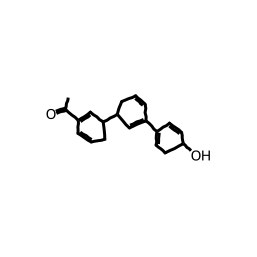 CC(=O)C1=CC(C2C=C(C3=CCC(O)C=C3)C=CC2)CC=C1